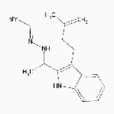 C=C(C)CCc1c(C(C)N/N=C/CCC)[nH]c2ccccc12